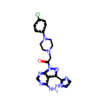 Nc1ncnc2c1c(-c1ncc[nH]1)nn2C(=O)CN1CCN(c2ccc(Cl)cc2)CC1